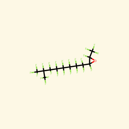 FC(F)(F)C1(F)OC1(F)C(F)(F)C(F)(F)C(F)(F)C(F)(F)C(F)(F)C(F)(F)C(F)(C(F)(F)F)C(F)(F)F